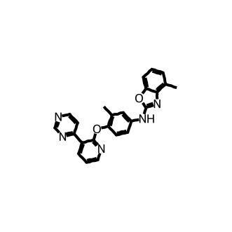 Cc1cc(Nc2nc3c(C)cccc3o2)ccc1Oc1ncccc1-c1ccncn1